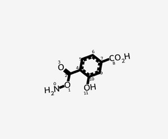 NOC(=O)c1ccc(C(=O)O)cc1O